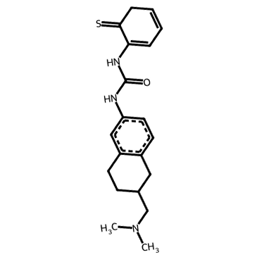 CN(C)CC1CCc2cc(NC(=O)NC3=CC=CCC3=S)ccc2C1